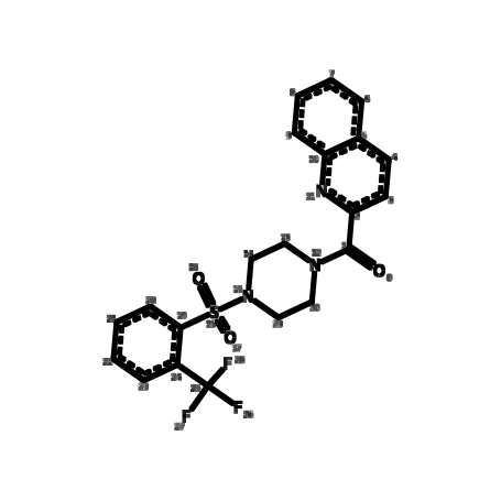 O=C(c1ccc2ccccc2n1)N1CCN(S(=O)(=O)c2ccccc2C(F)(F)F)CC1